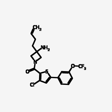 C=CCCC1(N)CN(C(=O)c2sc(-c3cccc(OC(F)(F)F)c3)cc2Cl)C1